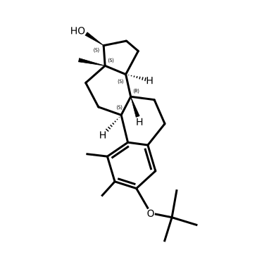 Cc1c(OC(C)(C)C)cc2c(c1C)[C@H]1CC[C@]3(C)[C@@H](O)CC[C@H]3[C@@H]1CC2